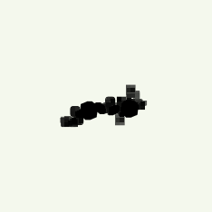 Cc1c(Br)ccc(NCCOCCc2ccc(C(=O)OC(C)(C)C)cc2)c1[N+](=O)[O-]